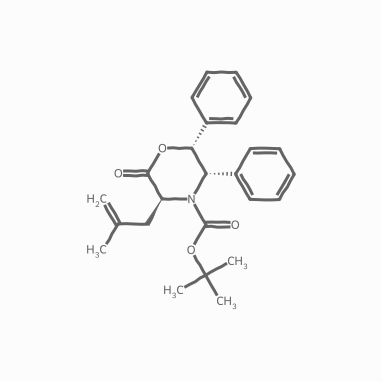 C=C(C)C[C@H]1C(=O)O[C@H](c2ccccc2)[C@H](c2ccccc2)N1C(=O)OC(C)(C)C